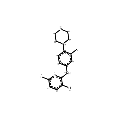 Cc1cc(Nc2nc(Cl)ncc2Cl)ccc1N1CCOCC1